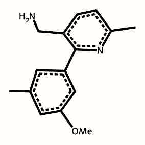 COc1cc(C)cc(-c2nc(C)ccc2CN)c1